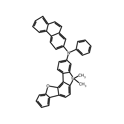 C[Si]1(C)c2cc(N(c3ccccc3)c3ccc4c(ccc5ccccc54)c3)ccc2-c2c1ccc1c2oc2ccccc21